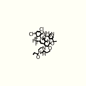 C=CC(=O)N1CCN2c3c(c(=O)n(-c4c(CC)cncc4CC)c4c(=O)n(C5=C(N)C(Cl)=C[C@H](Cl)C5F)c(C(F)(F)F)cc34)OCC[C@H]2C1